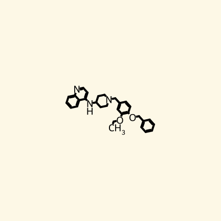 CCOc1cc(CN2CCC(Nc3ccnc4ccccc34)CC2)ccc1OCc1ccccc1